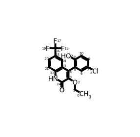 CCOc1c(-c2cc(Cl)ccc2O)c2cc(C(F)(F)F)ccc2[nH]c1=O